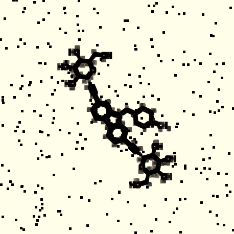 CN1CCC(Cn2c3cc(C#C[C@H]4O[C@H](CO)[C@@H](O)[C@H](O)[C@@H]4O)ccc3c3ccc(C#C[C@H]4O[C@H](CO)[C@@H](O)[C@H](O)[C@@H]4O)cc32)CC1